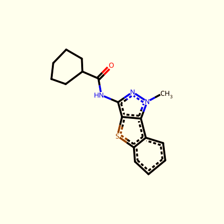 Cn1nc(NC(=O)C2CCCCC2)c2sc3ccccc3c21